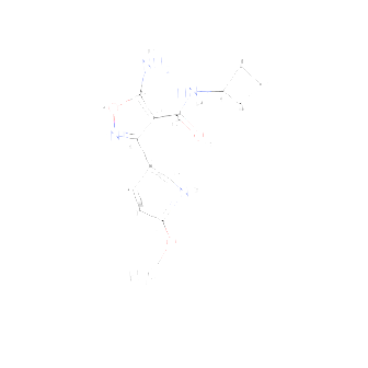 COc1ccc(-c2noc(N)c2C(=O)NC2CCC2)cn1